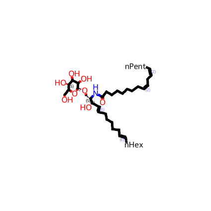 CCCCC/C=C\C/C=C\CCCCCCCC(=O)N[C@@H](CO[C@@H]1OC(CO)[C@@H](O)C(O)C1O)[C@H](O)/C=C/CCCCC/C=C/CCCCCC